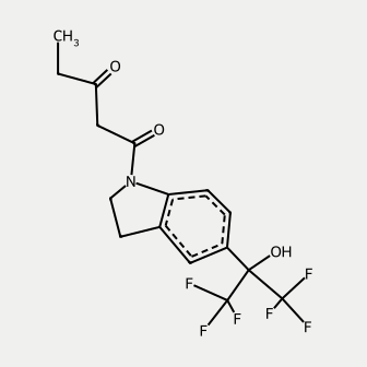 CCC(=O)CC(=O)N1CCc2cc(C(O)(C(F)(F)F)C(F)(F)F)ccc21